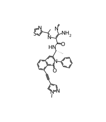 C=N/C(N)=C(\N=C(/C)c1cscn1)C(=O)N[C@H](C)c1cc2cccc(C#Cc3cnn(C)c3)c2c(=O)n1-c1ccccc1